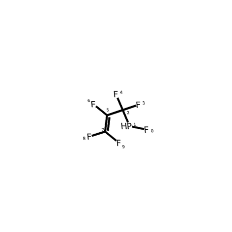 FPC(F)(F)C(F)=C(F)F